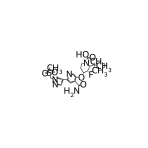 CC(C)(C)C1[C@H](F)[C@H](Oc2cnc(-c3cnn(CS(C)(=O)=O)c3)cc2C(N)=O)CCN1C(=O)O